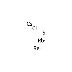 [Cl].[Cs].[Rb].[Re].[S]